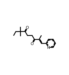 CCC(C)(C)C(=O)CCC(=O)/C(C)=C/c1ccccn1